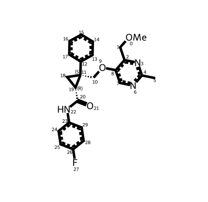 COCc1nc(C)ncc1OC[C@@]1(c2ccccc2)C[C@H]1C(=O)Nc1ccc(F)cc1